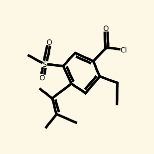 CCc1cc(C(C)=C(C)C)c(S(C)(=O)=O)cc1C(=O)Cl